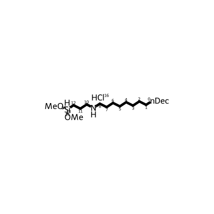 CCCCCCCCCCCCCCCCCCNCCC[SiH](OC)OC.Cl